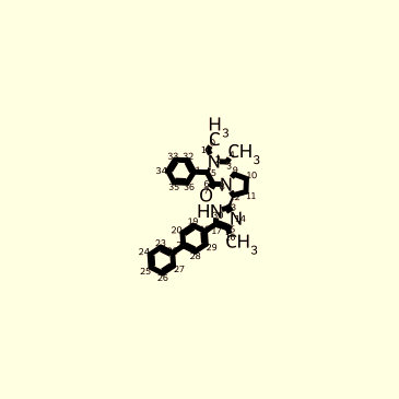 CCN(CC)[C@@H](C(=O)N1CCC[C@H]1c1nc(C)c(-c2ccc(-c3ccccc3)cc2)[nH]1)c1ccccc1